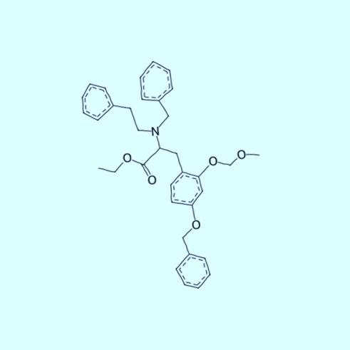 CCOC(=O)C(Cc1ccc(OCc2ccccc2)cc1OCOC)N(CCc1ccccc1)Cc1ccccc1